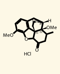 COc1ccc2c3c1OC1C(=O)CC(C)[C@@]4(OC)[C@@H](C2)NCC[C@]314.Cl